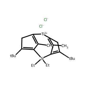 CC[Si]1(CC)C2=C(C(C)(C)C)C[C](=C2C)[Ti+2][C]2=C(C)C1=C(C(C)(C)C)C2.[Cl-].[Cl-]